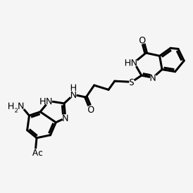 CC(=O)c1cc(N)c2[nH]c(NC(=O)CCCSc3nc4ccccc4c(=O)[nH]3)nc2c1